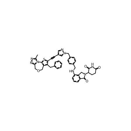 Cc1nnc2n1-c1sc(C#Cc3cnn(Cc4ccc(CNc5cccc6c5CN(C5CCC(=O)NC5=O)C6=O)cc4)c3)c(Cc3ccccc3)c1COC2